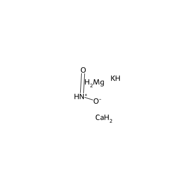 O=[NH+][O-].[CaH2].[KH].[MgH2]